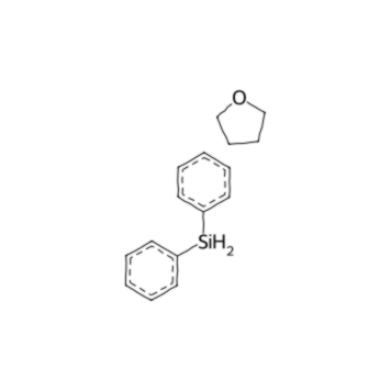 C1CCOC1.c1ccc([SiH2]c2ccccc2)cc1